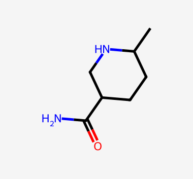 CC1CCC(C(N)=O)CN1